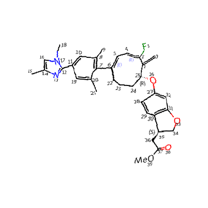 C=C1/C(F)=C\C=C(\c2c(C)cc(-c3nc(C)cn3C)cc2C)CCC[C@H]1Oc1ccc2c(c1)OC[C@H]2CC(=O)OC